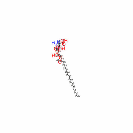 CCCCCCCCCCCCCCCCCCCCCC(COCC(O)COP(=O)(O)OCC(N)C(=O)O)OC